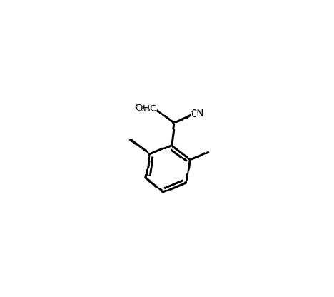 Cc1cccc(C)c1C(C#N)C=O